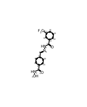 O=C(NO)c1ccc(C=NNC(=O)c2cccc(C(F)(F)F)c2)cc1